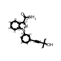 CC(C)(O)C#Cc1cccc(-n2nc(C(N)=O)c3ccccc32)c1